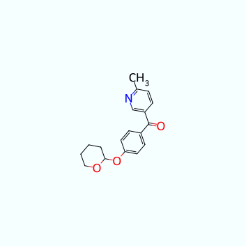 Cc1ccc(C(=O)c2ccc(OC3CCCCO3)cc2)cn1